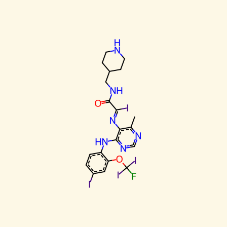 Cc1ncnc(Nc2ccc(I)cc2OC(F)(I)I)c1/N=C(\I)C(=O)NCC1CCNCC1